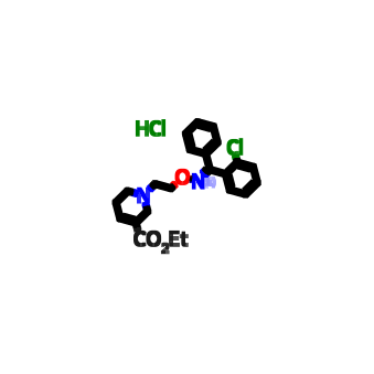 CCOC(=O)C1=CCCN(CCO/N=C(\c2ccccc2)c2ccccc2Cl)C1.Cl